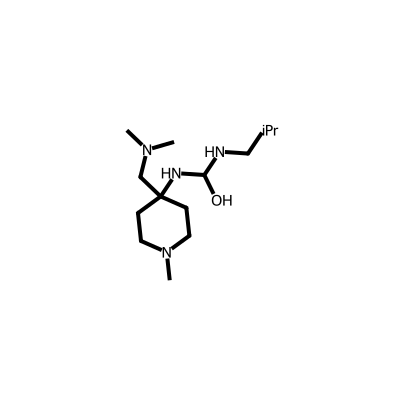 CC(C)CNC(O)NC1(CN(C)C)CCN(C)CC1